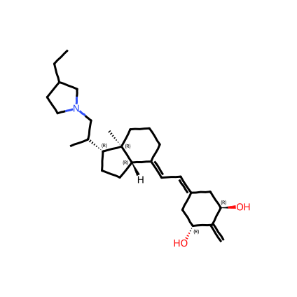 C=C1[C@H](O)CC(=CC=C2CCC[C@]3(C)[C@@H](C(C)CN4CCC(CC)C4)CC[C@@H]23)C[C@H]1O